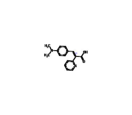 CN(C)c1ccc(/C=C(/C(=O)O)c2ccccn2)cc1